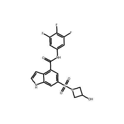 O=C(Nc1cc(F)c(F)c(F)c1)c1cc(S(=O)(=O)N2CC(O)C2)cc2[nH]ccc12